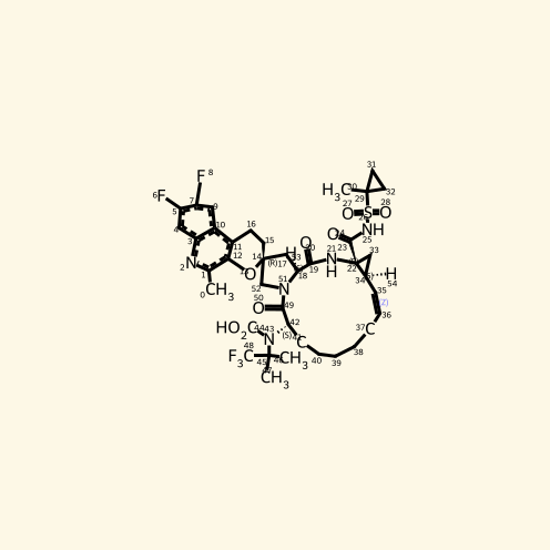 Cc1nc2cc(F)c(F)cc2c2c1O[C@]1(CC2)C[C@H]2C(=O)N[C@]3(C(=O)NS(=O)(=O)C4(C)CC4)C[C@H]3/C=C\CCCCC[C@H](N(C(=O)O)C(C)(C)C(F)(F)F)C(=O)N2C1